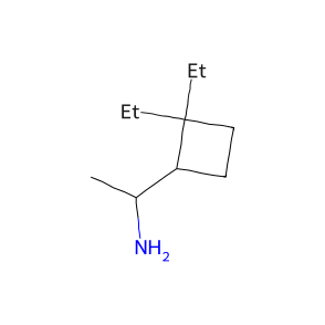 CCC1(CC)CCC1C(C)N